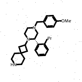 COc1ccc(CN2CCN(C3CC4(CCNCC4)C3)[C@@H](c3ccccc3C(C)C)C2)cc1